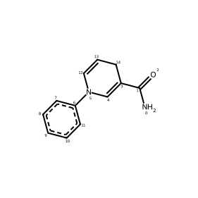 NC(=O)C1=CN(c2ccccc2)C=CC1